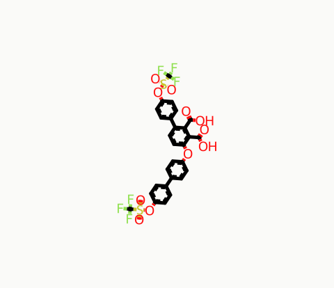 O=C(O)c1c(Oc2ccc(-c3ccc(OS(=O)(=O)C(F)(F)F)cc3)cc2)ccc(-c2ccc(OS(=O)(=O)C(F)(F)F)cc2)c1C(=O)O